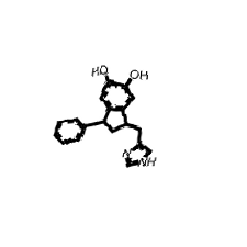 Oc1cc2c(cc1O)C(c1ccccc1)CC2Cc1c[nH]cn1